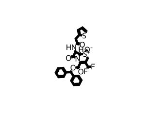 O=C(Cc1cccs1)NC1C(=O)N2C(C(=O)OC(c3ccccc3)c3ccccc3)=C(C(F)F)C[S+]([O-])[C@H]12